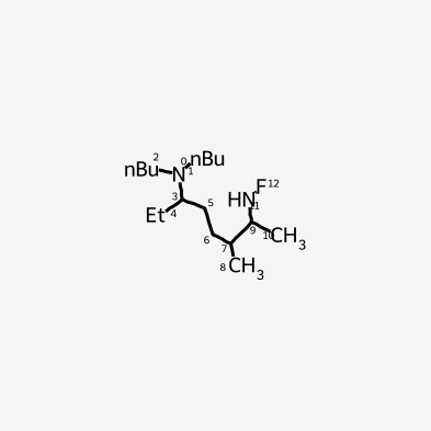 CCCCN(CCCC)C(CC)CCC(C)C(C)NF